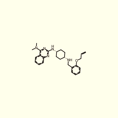 C=CCOc1ccccc1CN[C@H]1CC[C@@H](Nc2nc(N(C)C)c3ccccc3n2)CC1